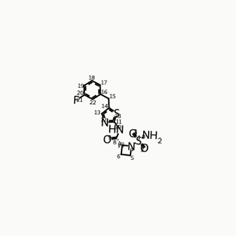 NS(=O)(=O)N1CC[C@@H]1C(=O)Nc1ncc(Cc2cccc(F)c2)s1